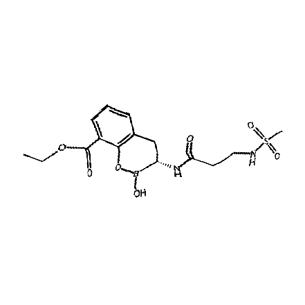 CCOC(=O)c1cccc2c1OB(O)[C@@H](NC(=O)CCNS(C)(=O)=O)C2